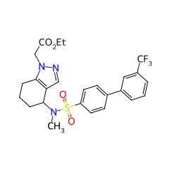 CCOC(=O)Cn1ncc2c1CCCC2N(C)S(=O)(=O)c1ccc(-c2cccc(C(F)(F)F)c2)cc1